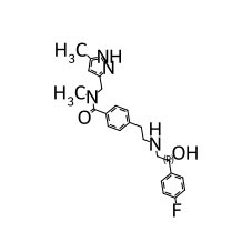 Cc1cc(CN(C)C(=O)c2ccc(CCNC[C@H](O)c3ccc(F)cc3)cc2)n[nH]1